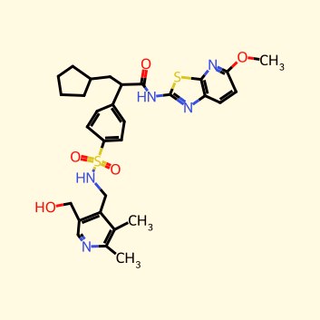 COc1ccc2nc(NC(=O)C(CC3CCCC3)c3ccc(S(=O)(=O)NCc4c(CO)cnc(C)c4C)cc3)sc2n1